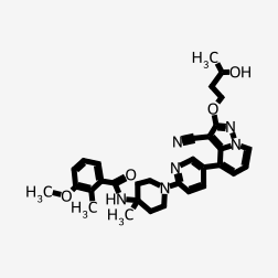 COc1cccc(C(=O)NC2(C)CCN(c3ccc(-c4cccn5nc(OCCC(C)O)c(C#N)c45)cn3)CC2)c1C